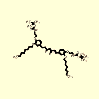 CCCCCCCCOc1cc(/C=C/C(=O)CC(=O)CCc2ccc(OCCNC(=O)OC(C)(C)C)c(OCCCCCCCC)c2)ccc1OCCNC(=O)OC(C)(C)C